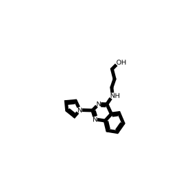 OCCCNc1nc(-n2cccc2)nc2ccccc12